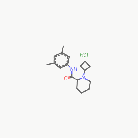 Cc1cc(C)cc(NC(=O)[C@@H]2CCCCN2C2CCC2)c1.Cl